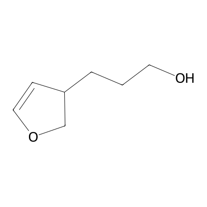 OCCCC1C=COC1